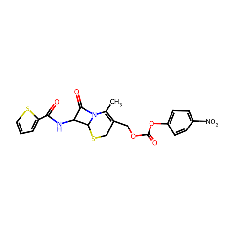 CC1=C(COC(=O)Oc2ccc([N+](=O)[O-])cc2)CSC2C(NC(=O)c3cccs3)C(=O)N12